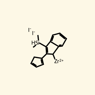 C[SiH](C)C1=C(C2=CC=CC2)[CH]([Zr+2])c2ccccc21.[I-].[I-]